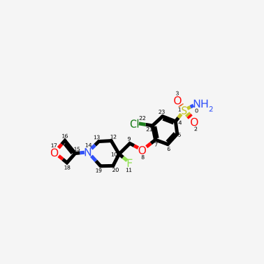 NS(=O)(=O)c1ccc(OCC2(F)CCN(C3=COC3)CC2)c(Cl)c1